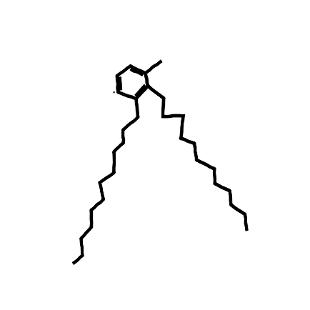 CCCCCCCCCCCCc1[c]ccc(C)c1CCCCCCCCCCCC